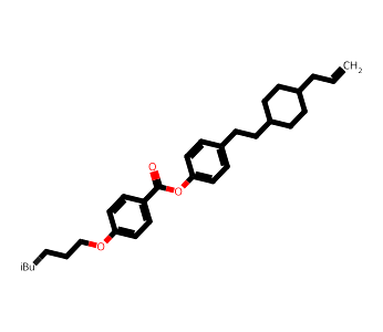 C=CCC1CCC(CCc2ccc(OC(=O)c3ccc(OCCCC(C)CC)cc3)cc2)CC1